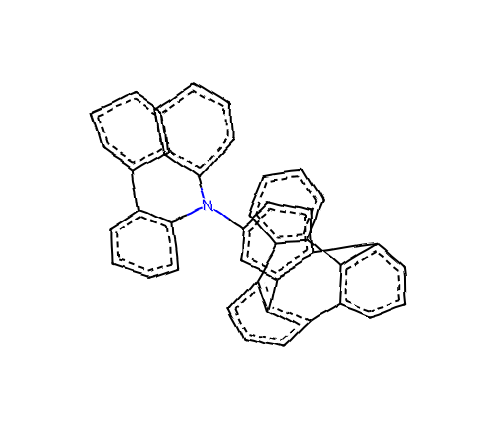 c1ccc(-c2ccccc2N(c2ccccc2)c2ccc3c(c2)-c2c4cccc2-c2cccc-3c2-c2ccccc2-4)cc1